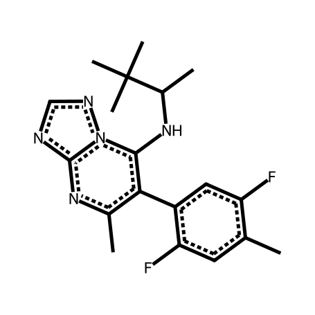 Cc1cc(F)c(-c2c(C)nc3ncnn3c2NC(C)C(C)(C)C)cc1F